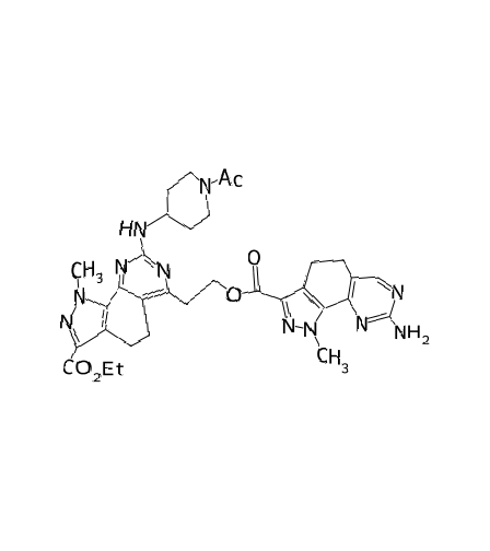 CCOC(=O)c1nn(C)c2c1CCc1c(CCOC(=O)c3nn(C)c4c3CCc3cnc(N)nc3-4)nc(NC3CCN(C(C)=O)CC3)nc1-2